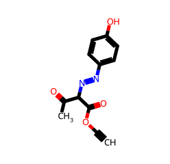 C#COC(=O)C(N=Nc1ccc(O)cc1)C(C)=O